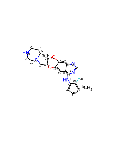 Cc1cccc(Nc2ncnc3cc4c(cc23)OC(CN2CCNCCC2C(F)(F)F)CO4)c1F